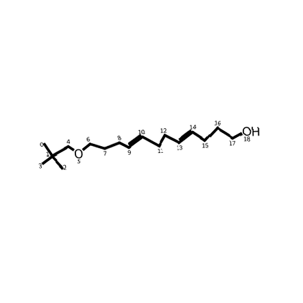 CC(C)(C)COCCCC=CCCC=CCCCO